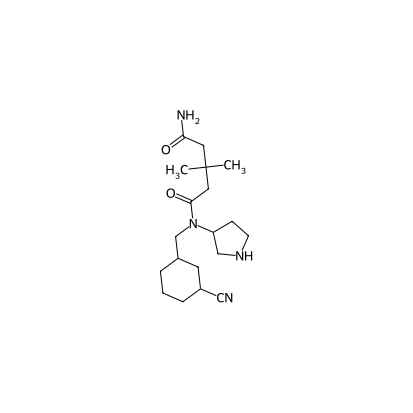 CC(C)(CC(N)=O)CC(=O)N(CC1CCCC(C#N)C1)C1CCNC1